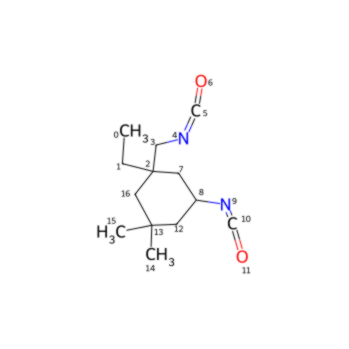 CCC1(CN=C=O)CC(N=C=O)CC(C)(C)C1